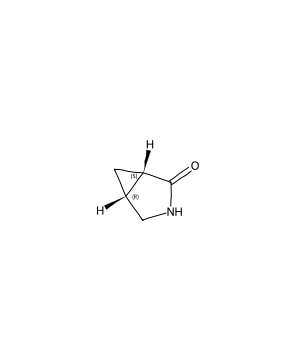 O=C1NC[C@@H]2C[C@H]12